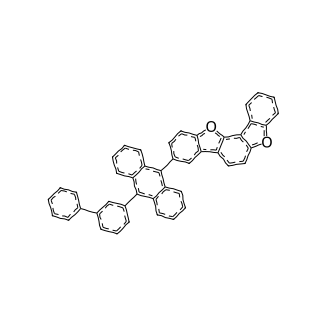 c1ccc(-c2cccc(-c3c4ccccc4c(-c4ccc5oc6c(ccc7oc8ccccc8c76)c5c4)c4ccccc34)c2)cc1